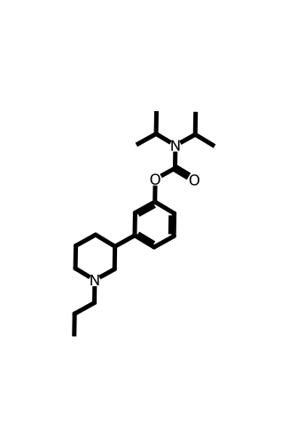 CCCN1CCCC(c2cccc(OC(=O)N(C(C)C)C(C)C)c2)C1